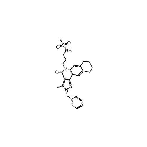 Cc1c2c(=O)n(CCCNS(C)(=O)=O)c3cc4c(cc3c2nn1Cc1ccccc1)CCCC4